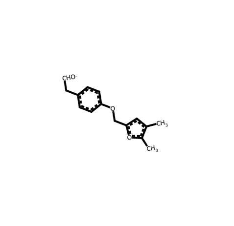 Cc1cc(COc2ccc(C[C]=O)cc2)oc1C